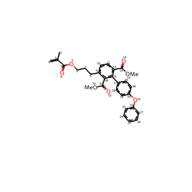 C=C(C)C(=O)OCCCc1ccc(C(=O)OC)c(-c2ccc(Oc3ccccc3)cc2)c1C(=O)OC